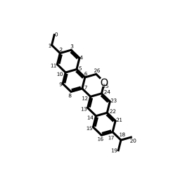 CCc1ccc2c3c(ccc2c1)-c1cc2ccc(C(C)C)cc2cc1OC3